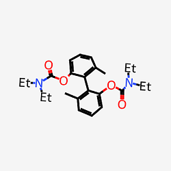 CCN(CC)C(=O)Oc1cccc(C)c1-c1c(C)cccc1OC(=O)N(CC)CC